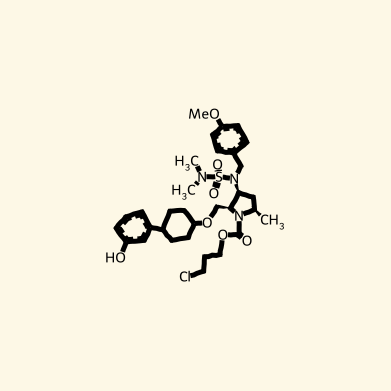 COc1ccc(CN([C@H]2C[C@@H](C)N(C(=O)OCCCCl)[C@H]2COC2CCC(c3cccc(O)c3)CC2)S(=O)(=O)N(C)C)cc1